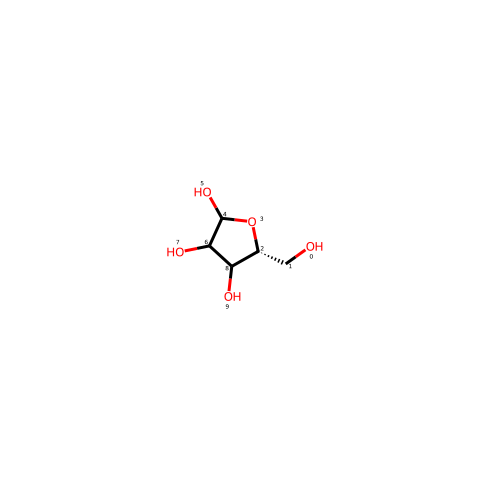 OC[C@H]1OC(O)C(O)C1O